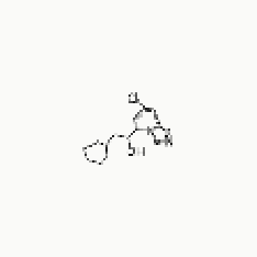 O[C@@H](CC1CCCCC1)c1cc(Cl)cc2cncn12